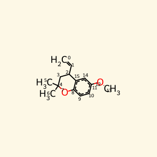 C=CC1CC(C)(C)Oc2ccc(OC)cc21